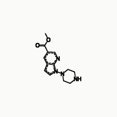 COC(=O)c1cnc2c(ccn2N2CCNCC2)c1